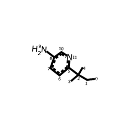 CCC(C)(C)c1ccc(N)cn1